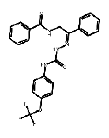 O=C(NN=C(CNC(=O)c1ccccc1)c1ccccc1)Nc1ccc(OC(F)(F)F)cc1